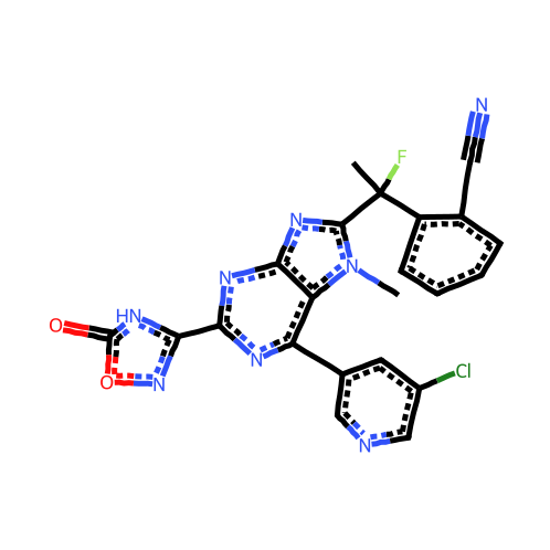 Cn1c(C(C)(F)c2ccccc2C#N)nc2nc(-c3noc(=O)[nH]3)nc(-c3cncc(Cl)c3)c21